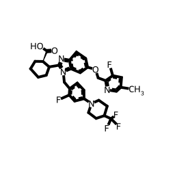 Cc1cnc(COc2ccc3nc(C4CCCC[C@H]4C(=O)O)n(Cc4ccc(N5CCC(C(F)(F)F)CC5)cc4F)c3c2)c(F)c1